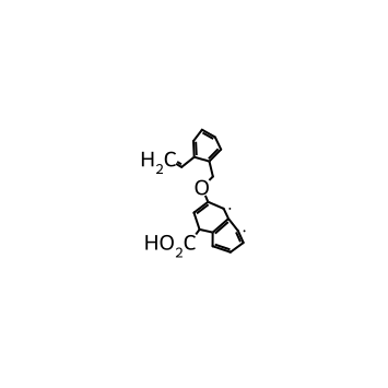 C=Cc1ccccc1COC1=CC(C(=O)O)c2ccc[c]c2[CH]1